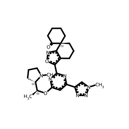 C[C@H](Oc1cc(-c2cn(C)nn2)nc(-c2onc3c2CCC[C@@]32CCCCC2=O)n1)[C@@H]1CCCN1C